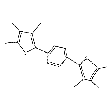 Cc1sc(-c2ccc(-c3sc(C)c(C)c3C)cc2)c(C)c1C